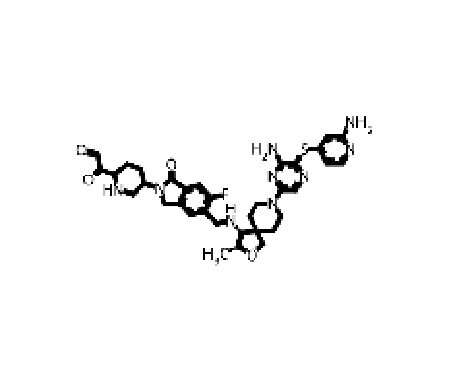 C[C@@H]1OCC2(CCN(c3cnc(Sc4ccnc(N)c4)c(N)n3)CC2)[C@@H]1NCc1cc2c(cc1F)C(=O)N(C1CCC(C(=O)C=O)NC1)C2